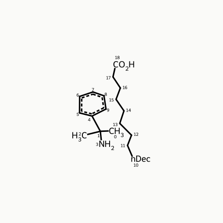 CC(C)(N)c1ccccc1.CCCCCCCCCCCCCCCCCC(=O)O